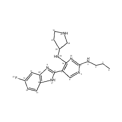 CCCNc1ncc(-c2nc3cc(F)ccc3[nH]2)c(NC2CCNC2)n1